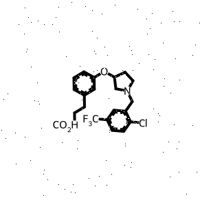 O=C(O)CCc1cccc(OC2CCN(Cc3cc(C(F)(F)F)ccc3Cl)C2)c1